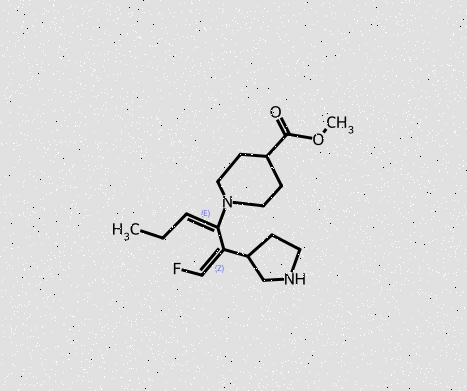 CC/C=C(\C(=C/F)C1CCNC1)N1CCC(C(=O)OC)CC1